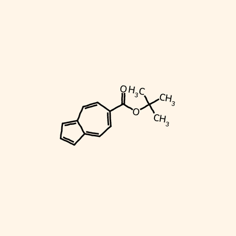 CC(C)(C)OC(=O)c1ccc2cccc-2cc1